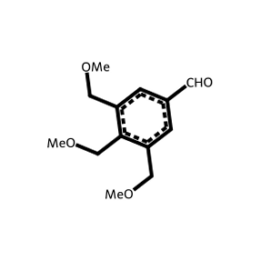 COCc1cc(C=O)cc(COC)c1COC